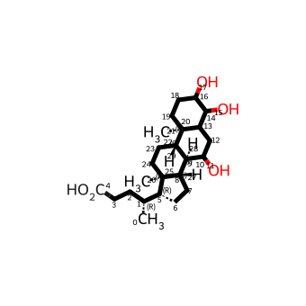 C[C@H](CCC(=O)O)[C@H]1CC[C@H]2[C@@H]3C(O)CC4C(O)C(O)CC[C@]4(C)[C@H]3CC[C@]12C